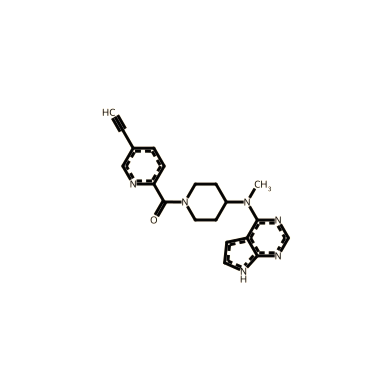 C#Cc1ccc(C(=O)N2CCC(N(C)c3ncnc4[nH]ccc34)CC2)nc1